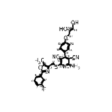 Cc1oc(-c2cccc(F)c2)nc1CSc1nc(N)c(C#N)c(-c2ccc(OC[C@H](O)CO)cc2)c1C#N